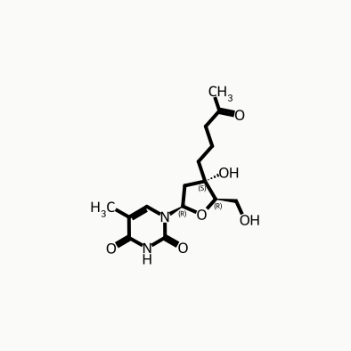 CC(=O)CCC[C@]1(O)C[C@H](n2cc(C)c(=O)[nH]c2=O)O[C@@H]1CO